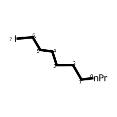 CCCCCCCC[CH]I